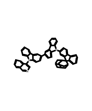 c1ccc2c(c1)-c1ccc(-n3c4ccccc4c4cc(-c5ccc6c(c5)c5ccccc5n6-c5cncc6ccccc56)ccc43)cc1C21C2CC3CC(C2)CC1C3